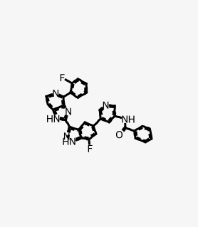 O=C(Nc1cncc(-c2cc(F)c3[nH]nc(-c4nc5c(-c6ccccc6F)nccc5[nH]4)c3c2)c1)c1ccccc1